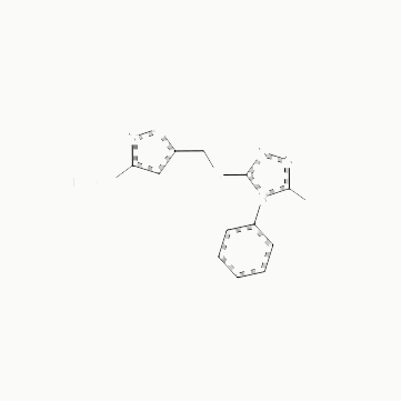 CCOC(=O)c1cc(CSc2nnc(O)n2-c2ccccc2)on1